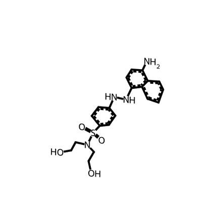 Nc1ccc(NNc2ccc(S(=O)(=O)N(CCO)CCO)cc2)c2ccccc12